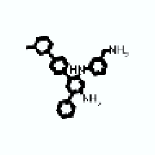 CC1C=CC=C(c2ccc(-c3cc(-c4ccccc4)c(N)cc3Nc3cccc(CN)c3)cc2)C1